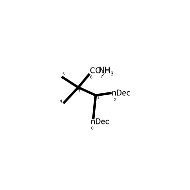 CCCCCCCCCCC(CCCCCCCCCC)C(C)(C)C(=O)O.N